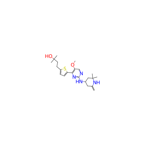 C=C1CC(Nc2ncc(OC)c(-c3ccc(CCC(C)(C)O)s3)n2)CC(C)(C)N1